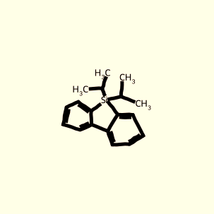 CC(C)[Si]1(C(C)C)c2ccccc2-c2ccccc21